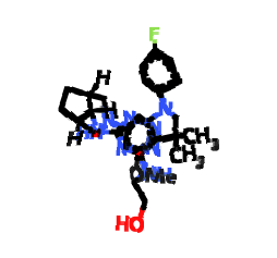 COc1cc(N2C[C@H]3CC[C@@H](C2)[C@H]3Nc2nc(NCCO)c3c(n2)N(c2ccc(F)cc2)CC3(C)C)cnn1